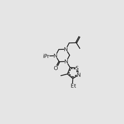 C=C(C)CN1CN(c2snc(CC)c2C)C(=O)N(C(C)C)C1